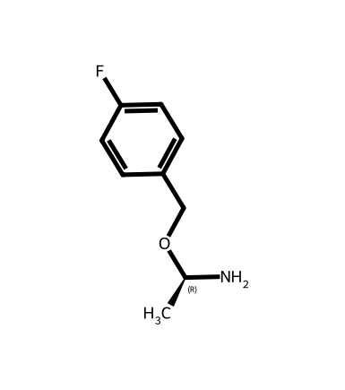 C[C@H](N)OCc1ccc(F)cc1